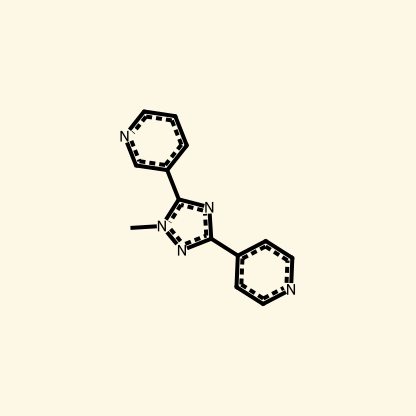 Cn1nc(-c2ccncc2)nc1-c1cccnc1